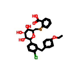 CCOc1ccc(Cc2cc([C@@H]3O[C@H](CSc4ccccc4C(=O)O)[C@H](O)[C@@H](O)[C@H]3O)ccc2Cl)cc1